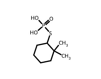 CC1(C)CCCCC1SP(=O)(O)O